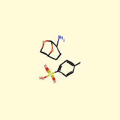 Cc1ccc(S(=O)(=O)O)cc1.NC1CCC2COC1O2